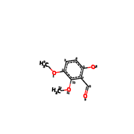 COc1ccc([O])c(C=O)c1OC